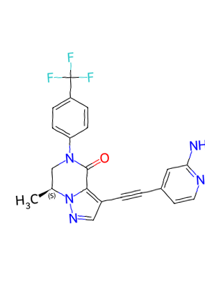 C[C@H]1CN(c2ccc(C(F)(F)F)cc2)C(=O)c2c(C#Cc3ccnc(N)c3)cnn21